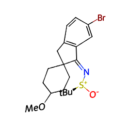 COC1CCC2(CC1)Cc1ccc(Br)cc1/C2=N/[S@@+]([O-])C(C)(C)C